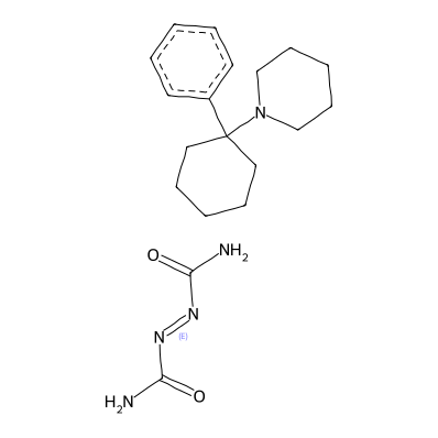 NC(=O)/N=N/C(N)=O.c1ccc(C2(N3CCCCC3)CCCCC2)cc1